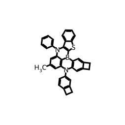 Cc1cc2c3c(c1)N(c1ccccc1)c1c(sc4ccccc14)B3c1cc3c(cc1N2c1ccc2c(c1)CC2)CC3